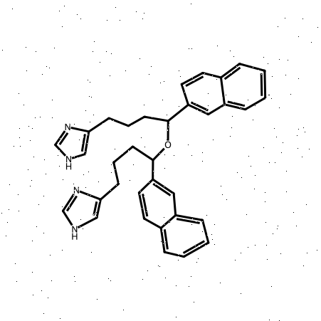 c1ccc2cc(C(CCCc3c[nH]cn3)OC(CCCc3c[nH]cn3)c3ccc4ccccc4c3)ccc2c1